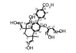 CC1(C=NO)CCC(C=NO)(C=NO)c2cc(-c3ccc(C(=O)O)cc3)c(OC(C=NO)=NO)cc21